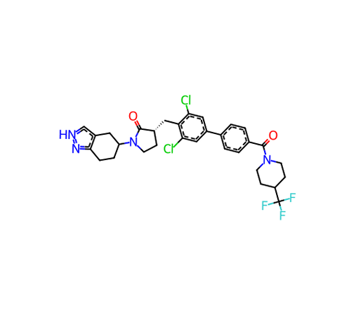 O=C(c1ccc(-c2cc(Cl)c(C[C@@H]3CCN(C4CCc5n[nH]cc5C4)C3=O)c(Cl)c2)cc1)N1CCC(C(F)(F)F)CC1